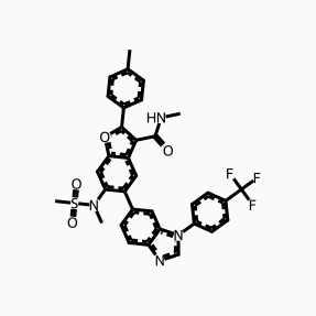 CNC(=O)c1c(-c2ccc(C)cc2)oc2cc(N(C)S(C)(=O)=O)c(-c3ccc4ncn(-c5ccc(C(F)(F)F)cc5)c4c3)cc12